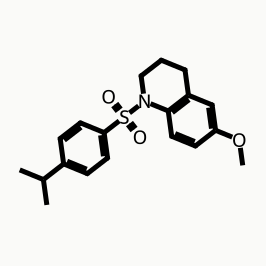 COc1ccc2c(c1)CCCN2S(=O)(=O)c1ccc(C(C)C)cc1